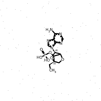 CC[C@]12COC(C1OP(=O)(O)O)[C@H](n1cnc3c(N)ncnc31)O2